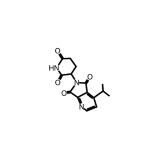 CC(C)c1ccnc2c1C(=O)N(C1CCC(=O)NC1=O)C2=O